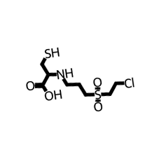 O=C(O)C(CS)NCCCS(=O)(=O)CCCl